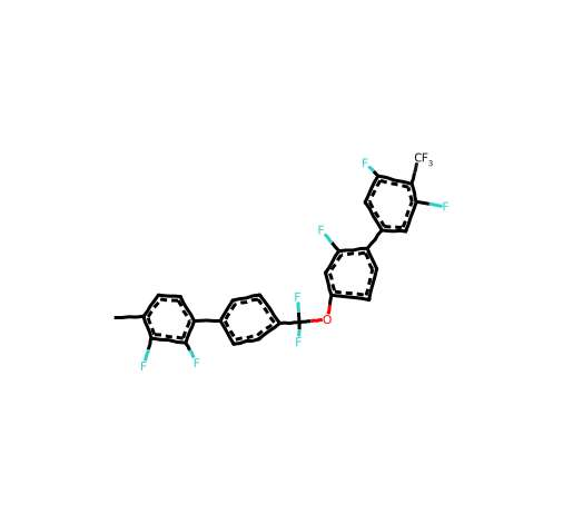 Cc1ccc(-c2ccc(C(F)(F)Oc3ccc(-c4cc(F)c(C(F)(F)F)c(F)c4)c(F)c3)cc2)c(F)c1F